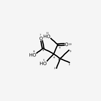 CC(C)(C)C(O)(C(=O)O)C(=O)O